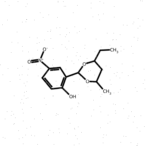 CCC1CC(C)OC(c2cc([N+](=O)[O-])ccc2O)O1